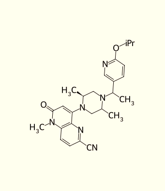 CC(C)Oc1ccc(C(C)N2C[C@H](C)N(c3cc(=O)n(C)c4ccc(C#N)nc34)CC2C)cn1